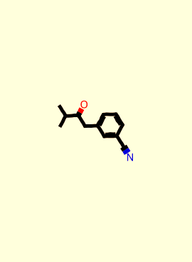 CC(C)C(=O)Cc1cccc(C#N)c1